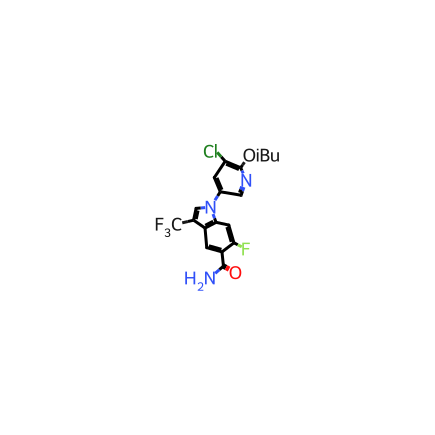 CC(C)COc1ncc(-n2cc(C(F)(F)F)c3cc(C(N)=O)c(F)cc32)cc1Cl